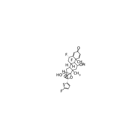 C[C@]12C=CC(=O)C=C1[C@@H](F)C[C@H]1[C@@H]3C[C@H]4O[C@@H](c5ccc(F)s5)O[C@@]4(C(=O)CO)[C@@]3(C)C[C@H](O)[C@@]12F